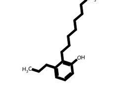 CCCCCCCCc1c(O)cccc1CCC